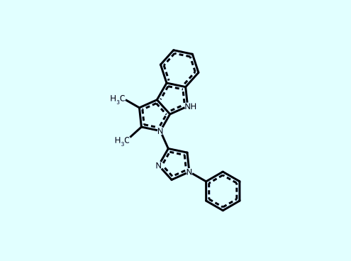 Cc1c(C)n(-c2cn(-c3ccccc3)cn2)c2[nH]c3ccccc3c12